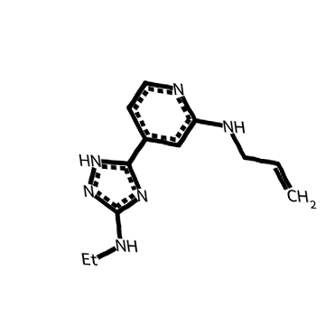 C=CCNc1cc(-c2nc(NCC)n[nH]2)ccn1